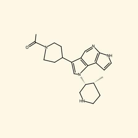 CC(=O)N1CCC(c2cn([C@H]3CNCC[C@H]3C)c3c2cnc2[nH]ccc23)CC1